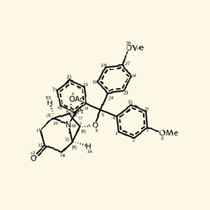 COc1ccc(C(O[C@H]2[C@@H](OC(C)=O)[C@@H]3CC(=O)C[C@H]2N3C(C)C)(c2ccccc2)c2ccc(OC)cc2)cc1